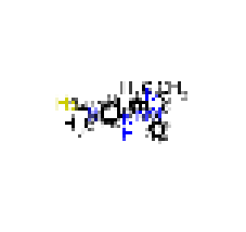 C=C(/N=C1\C(=C/C)N(C)C(=C)CCN1C1CCCC1)NC1=CCC=C(N(C)CCS)C=C1